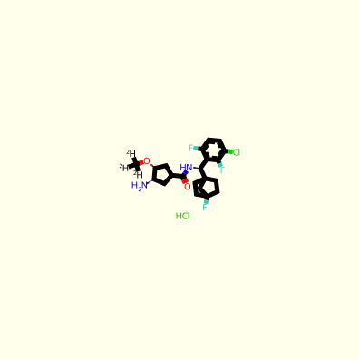 Cl.[2H]C([2H])([2H])O[C@@H]1CC(C(=O)N[C@H](c2c(F)ccc(Cl)c2F)C23CCC(F)(CC2)C3)C[C@@H]1N